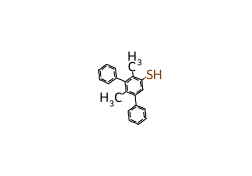 Cc1c(S)cc(-c2ccccc2)c(C)c1-c1ccccc1